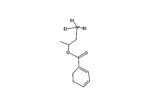 CC[N+](CC)(CC)CC(C)OC(=O)C1=CC=CCC1